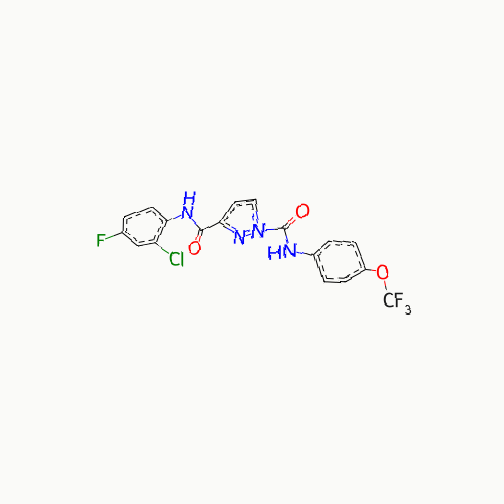 O=C(Nc1ccc(F)cc1Cl)c1ccn(C(=O)Nc2ccc(OC(F)(F)F)cc2)n1